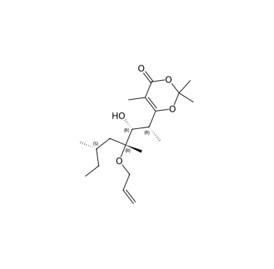 C=CCO[C@](C)(C[C@@H](C)CC)[C@H](O)[C@@H](C)C1=C(C)C(=O)OC(C)(C)O1